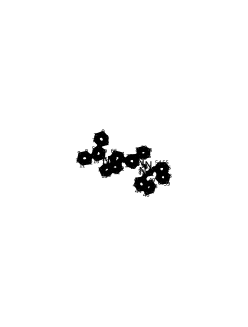 c1ccc(-c2cc(-c3ccccc3)cc(-n3c4cccc5ccc6c(-c7ccc8c(c7)c7ccccc7n8-c7nc(-c8cccc9ccccc89)cc(-c8cccc9ccccc89)n7)ccc3c6c54)c2)cc1